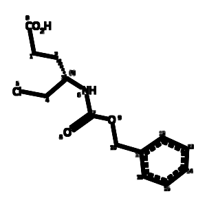 O=C(O)CC[C@@H](CCl)NC(=O)OCc1ccccc1